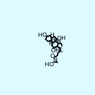 C[C@H](CCC(=O)N1CC1O)[C@H]1CC[C@H]2[C@@H]3[C@H](O)C[C@@H]4C[C@H](O)CC[C@]4(C)[C@H]3C[C@H](O)[C@]12C